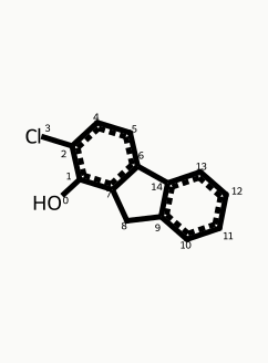 Oc1c(Cl)ccc2c1Cc1ccccc1-2